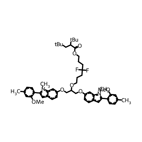 COc1cc(C)ccc1-c1cc2ccc(OCC(COc3ccc4cc(-c5ccc(C)cc5OC)n(C)c4c3)OCCCC(F)(F)CCCOC(=O)C(CC(C)(C)C)C(C)(C)C)cc2n1C